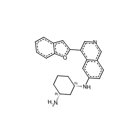 N[C@@H]1CCC[C@H](Nc2ccc3cncc(-c4cc5ccccc5o4)c3c2)C1